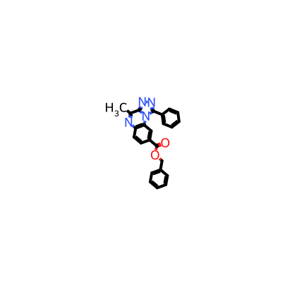 Cc1nc2ccc(C(=O)OCc3ccccc3)cc2n2c(-c3ccccc3)nnc12